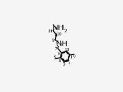 Cc1ccc(C)c(CNCCCN)c1